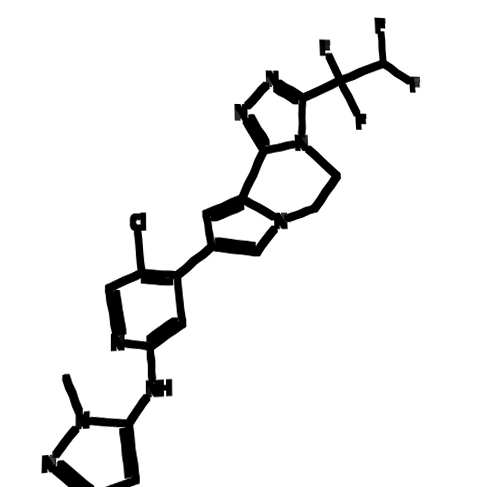 Cn1nccc1Nc1cc(-c2cc3n(c2)CCn2c-3nnc2C(F)(F)C(F)F)c(Cl)cn1